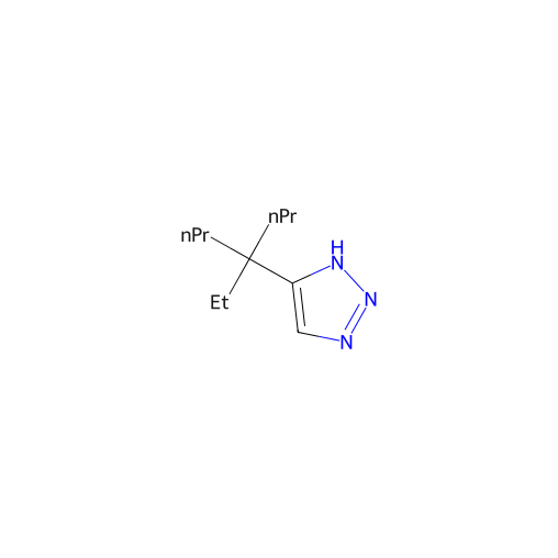 CCCC(CC)(CCC)c1cnn[nH]1